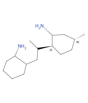 CC(CC1CCCCC1N)[C@@H]1CC[C@@H](C)CC1N